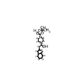 CC(C)(C)OC(=O)N1CCN(C(O)Cc2cc3ccccc3s2)CC1